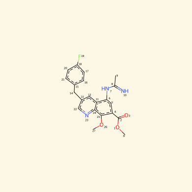 COC(=O)c1cc(NC(C)=N)c2cc(Cc3ccc(F)cc3)cnc2c1OC